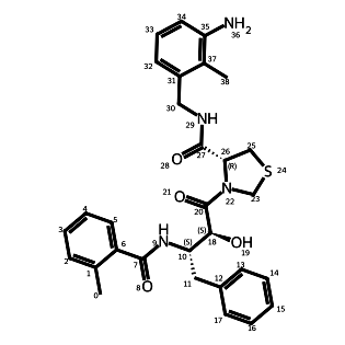 Cc1ccccc1C(=O)N[C@@H](Cc1ccccc1)[C@H](O)C(=O)N1CSC[C@H]1C(=O)NCc1cccc(N)c1C